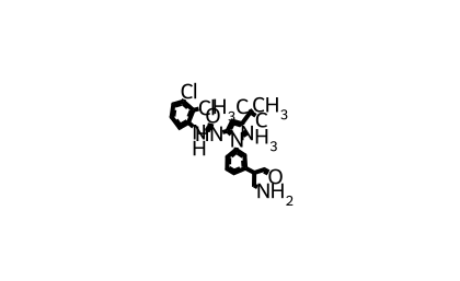 CC(C)(C)c1cc(NC(=O)Nc2cccc(Cl)c2Cl)n(-c2cccc(C(C=O)CN)c2)n1